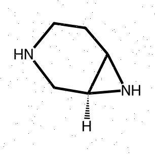 C1CC2N[C@H]2CN1